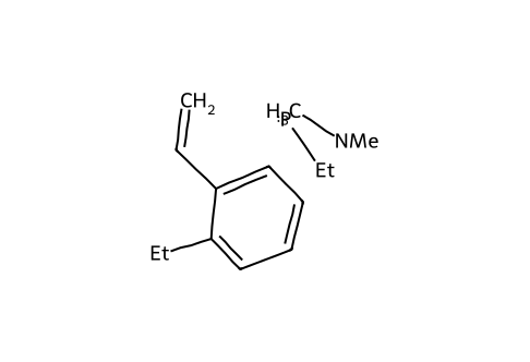 C=Cc1ccccc1CC.CC[P].CNC